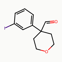 O=CC1(c2cccc(I)c2)CCOCC1